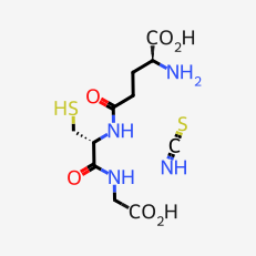 N=C=S.N[C@@H](CCC(=O)N[C@@H](CS)C(=O)NCC(=O)O)C(=O)O